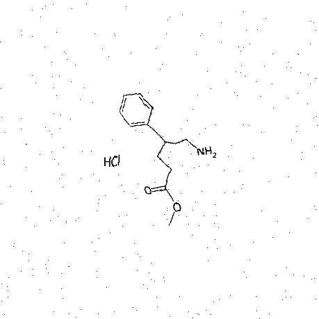 COC(=O)CCC(CN)c1ccccc1.Cl